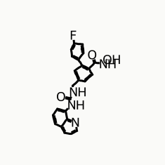 O=C(NCc1ccc(C(=O)NO)c(-c2ccc(F)cc2)c1)Nc1cccc2cccnc12